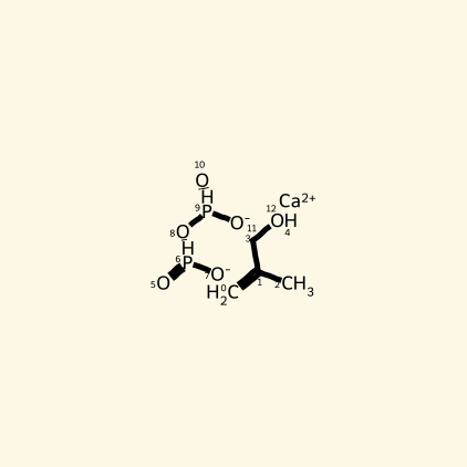 C=C(C)CO.O=[PH]([O-])O[PH](=O)[O-].[Ca+2]